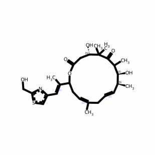 C/C1=C/CC(/C(C)=C/c2csc(CO)n2)OC(=O)C[C@H](O)C(C)(C)C(=O)C(C)[C@@H](O)[C@@H](C)/C=C/C1